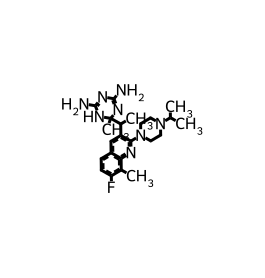 Cc1c(F)ccc2cc(C(C)C3(C)N=C(N)N=C(N)N3)c(N3CCN(C(C)C)CC3)nc12